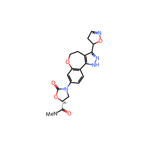 CNC(=O)[C@H]1CN(c2ccc3c(c2)OCCc2c(C4CC=NO4)n[nH]c2-3)C(=O)O1